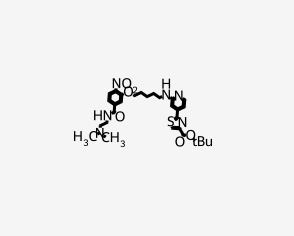 CN(C)CCNC(=O)c1ccc([N+](=O)[O-])c(OCCCCCNc2cc(-c3nc(C(=O)OC(C)(C)C)cs3)ccn2)c1